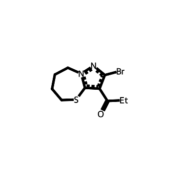 CCC(=O)c1c(Br)nn2c1SCCCC2